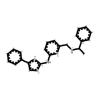 CC(NCc1cccc(Nc2ncc(-c3ccccc3)s2)n1)c1ccccc1